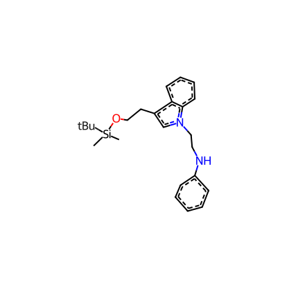 CC(C)(C)[Si](C)(C)OCCc1cn(CCNc2ccccc2)c2ccccc12